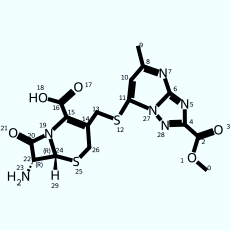 COC(=O)c1nc2nc(C)cc(SCC3=C(C(=O)O)N4C(=O)[C@@H](N)[C@H]4SC3)n2n1